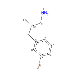 C[C@H](CN)Cc1cccc(Br)c1